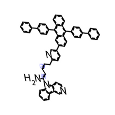 N/C(=C\C=C/Cc1ccc(-c2ccc3c(-c4ccc(-c5ccccc5)cc4)c4ccccc4c(-c4ccc(-c5ccccc5)cc4)c3c2)cn1)n1c2ccccc2c2cnccc21